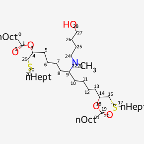 CCCCCCCCC(=O)OC(CCCCC(CCCCC(CSCCCCCCC)OC(=O)CCCCCCCC)N(C)CCCCO)CSCCCCCCC